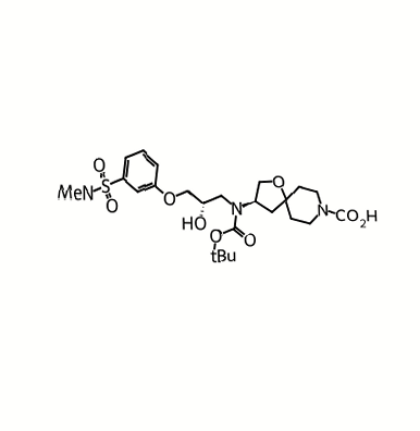 CNS(=O)(=O)c1cccc(OC[C@@H](O)CN(C(=O)OC(C)(C)C)[C@H]2COC3(CCN(C(=O)O)CC3)C2)c1